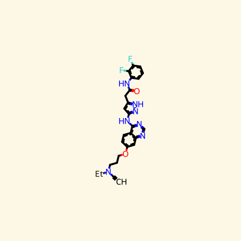 C#CN(CC)CCCOc1ccc2c(Nc3cc(CC(=O)Nc4cccc(F)c4F)[nH]n3)ncnc2c1